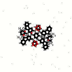 CC1(C)c2ccccc2-c2cc3c4c(c21)N(c1ccccc1)c1c2c(cc5c1P4(=O)c1c(c4c6c(c1N5c1ccccc1)N(c1ccccc1)c1cc5c(c7c1P6(=O)c1c(cc6c(c1N7c1ccccc1)C(C)(C)c1ccccc1-6)N4c1ccccc1)C(C)(C)c1ccccc1-5)N3c1ccccc1)-c1ccccc1C2(C)C